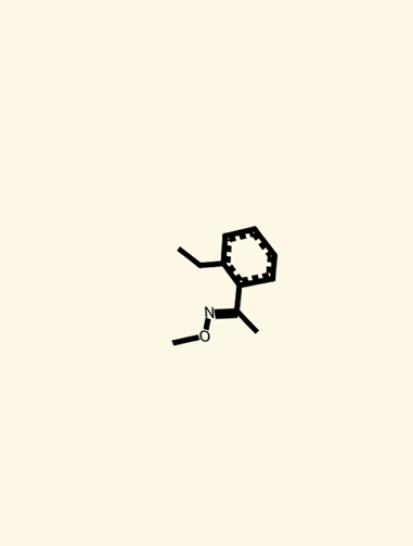 CCc1ccccc1C(C)=NOC